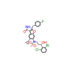 CS(=O)(=O)N(CCC(O)c1c(Cl)cccc1Br)c1cc2oc(Cc3ccc(F)cc3)c(C(N)=O)c2cc1C1CC1